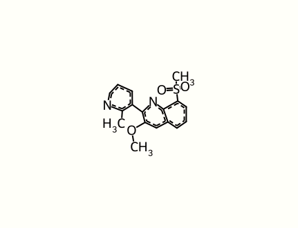 COc1cc2cccc(S(C)(=O)=O)c2nc1-c1cccnc1C